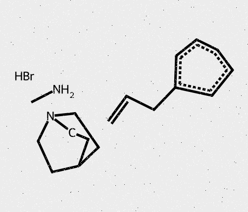 Br.C1CN2CCC1CC2.C=CCc1ccccc1.CN